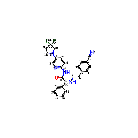 N#Cc1ccc(CCN[C@@H](C(=O)Nc2ccc(N3CCC(F)(F)C3)cn2)c2ccccc2)cc1